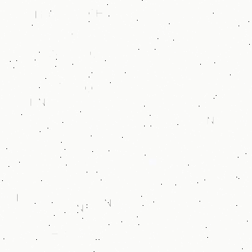 Cn1nc(/C=C/c2cccnc2)c2cc(NC(=O)OC(C)(C)C)cc(F)c21